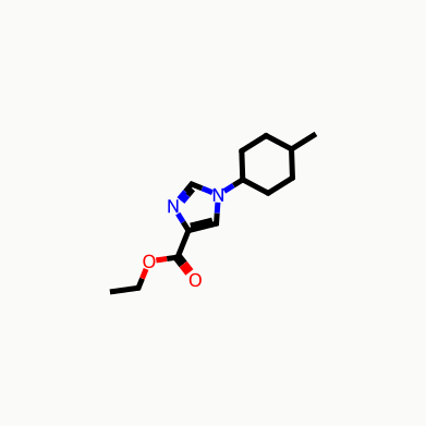 CCOC(=O)c1cn(C2CCC(C)CC2)cn1